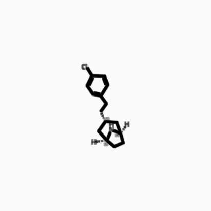 Clc1ccc(CC[C@@H]2C[C@H]3CC[C@@H](C2)N3)cc1